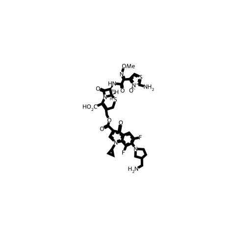 CON=C(C(=O)N[C@@H]1C(=O)N2C(C(=O)O)=C(COC(=O)c3cn(C4CC4)c4c(F)c(N5CCC(CN)C5)c(F)cc4c3=O)CS[C@H]12)c1csc(N)[n+]1[O-]